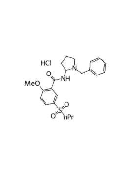 CCCS(=O)(=O)c1ccc(OC)c(C(=O)NC2CCCN2Cc2ccccc2)c1.Cl